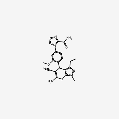 CCc1nn(C)c2c1C(c1ccc(-n3ccnc3C(N)=O)cc1OC)C(C#N)=C(N)O2